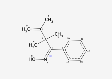 C=C(C)C(C)(C)/C(=N\O)c1ccccc1